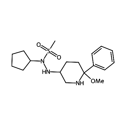 COC1(c2ccccc2)CCC(NN(C2CCCC2)S(C)(=O)=O)CN1